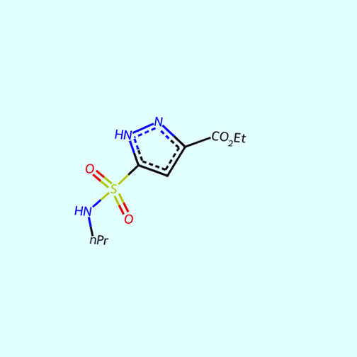 CCCNS(=O)(=O)c1cc(C(=O)OCC)n[nH]1